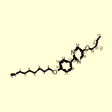 C=CCCCCCCCOc1ccc(-c2ncc(OC[C@@H](C)CC)cn2)cc1